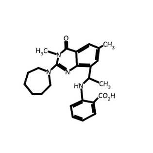 Cc1cc(C(C)Nc2ccccc2C(=O)O)c2nc(N3CCCCCC3)n(C)c(=O)c2c1